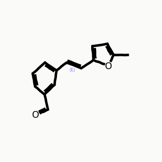 Cc1ccc(/C=C/c2cccc(C=O)c2)o1